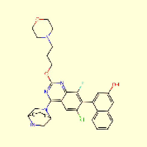 Oc1cc(-c2c(Cl)cc3c(N4CC5CCCC4CN5)nc(OCCCN4CCOCC4)nc3c2F)c2ccccc2c1